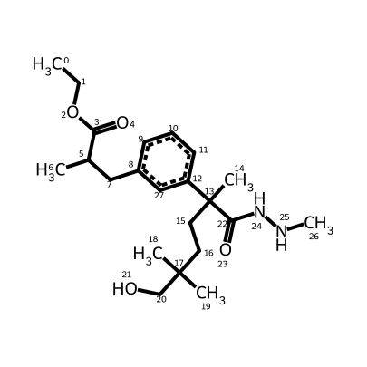 CCOC(=O)C(C)Cc1cccc(C(C)(CCC(C)(C)CO)C(=O)NNC)c1